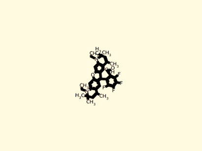 CCN1c2cc3c(cc2C(C)=CC1(C)C)C(c1c(F)c(F)c(F)c(F)c1C(=O)O)=c1cc2c(cc1O3)=[N+](CC)C(C)(C)C=C2C